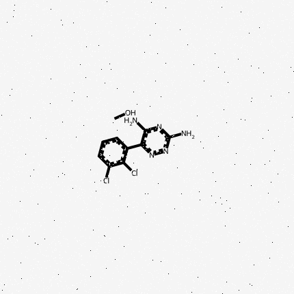 CO.Nc1nnc(-c2cccc(Cl)c2Cl)c(N)n1